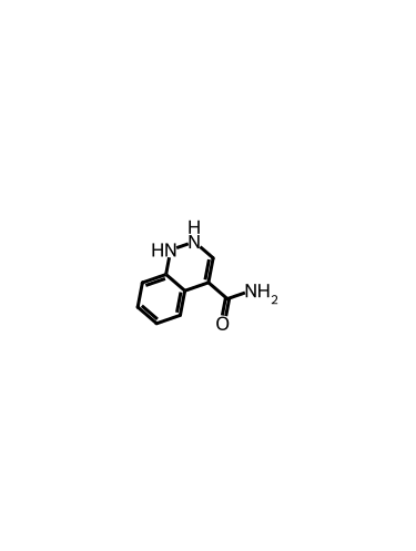 NC(=O)C1=CNNc2ccccc21